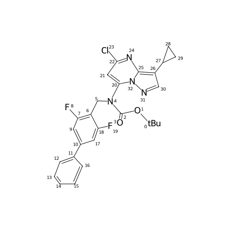 CC(C)(C)OC(=O)N(Cc1c(F)cc(-c2ccccc2)cc1F)c1cc(Cl)nc2c(C3CC3)cnn12